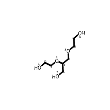 OCCOC[C](CO)OCCO